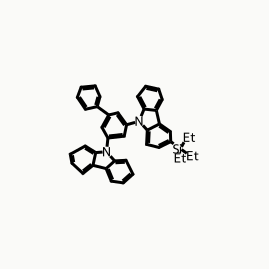 CC[Si](CC)(CC)c1ccc2c(c1)c1ccccc1n2-c1cc(-c2ccccc2)cc(-n2c3ccccc3c3ccccc32)c1